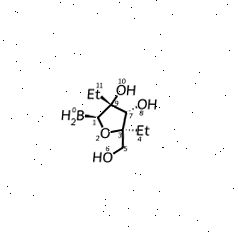 B[C@@H]1O[C@](CC)(CO)[C@@H](O)[C@]1(O)CC